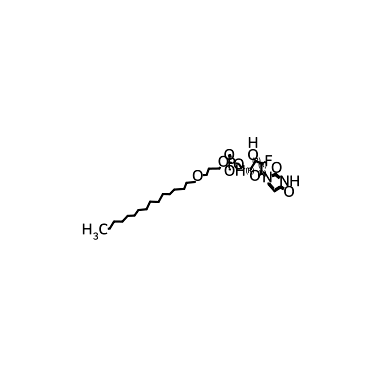 CCCCCCCCCCCCCCCCOCCCOP(=O)(O)OC[C@H]1O[C@@H](n2ccc(=O)[nH]c2=O)[C@H](F)[C@@H]1O